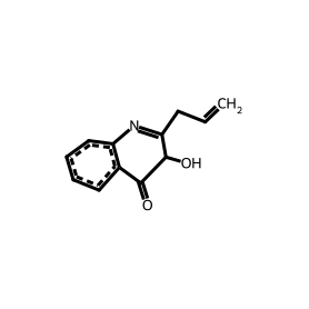 C=CCC1=Nc2ccccc2C(=O)C1O